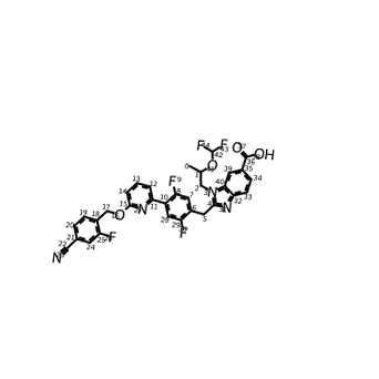 CC(Cn1c(Cc2cc(F)c(-c3cccc(OCc4ccc(C#N)cc4F)n3)cc2F)nc2ccc(C(=O)O)cc21)OC(F)F